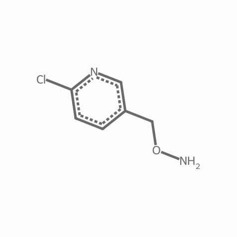 NOCc1ccc(Cl)nc1